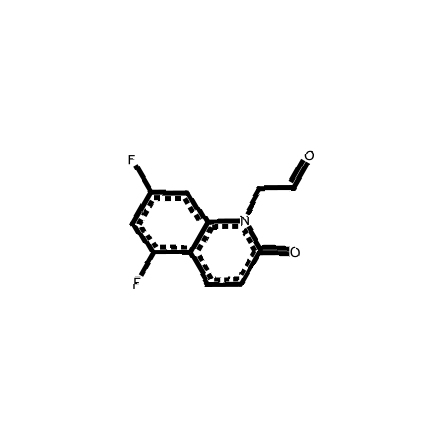 O=CCn1c(=O)ccc2c(F)cc(F)cc21